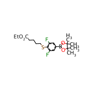 CCOC(=O)CCCCSc1c(F)cc(B2OC(C)(C)C(C)(C)O2)cc1F